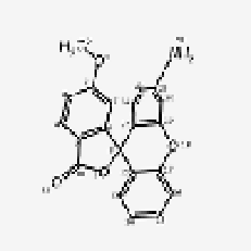 COc1ccc2c(c1)C1(OC2=O)c2ccccc2Oc2cc(N)ccc21